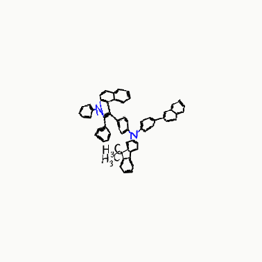 CC1(C)c2ccccc2-c2ccc(N(c3ccc(-c4ccc5ccccc5c4)cc3)c3ccc(-c4c(-c5ccccc5)n(-c5ccccc5)c5ccc6ccccc6c45)cc3)cc21